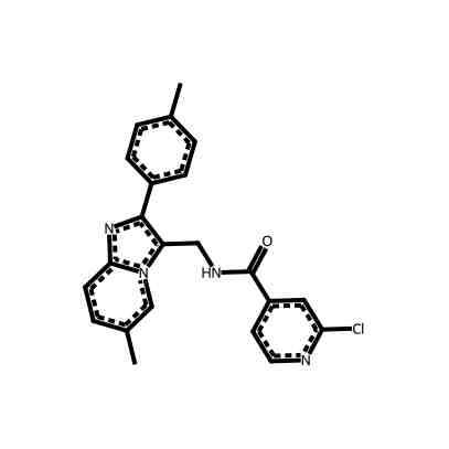 Cc1ccc(-c2nc3ccc(C)cn3c2CNC(=O)c2ccnc(Cl)c2)cc1